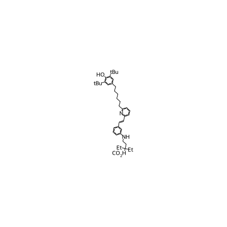 CCC(CC)(CCNc1cccc(C=Cc2cccc(CCCCCCc3cc(C(C)(C)C)c(O)c(C(C)(C)C)c3)n2)c1)C(=O)O